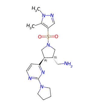 Cc1c(S(=O)(=O)N2C[C@H](CN)[C@@H](c3ccnc(N4CCCC4)n3)C2)cnn1C